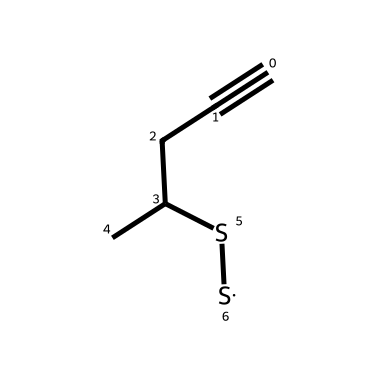 C#CCC(C)S[S]